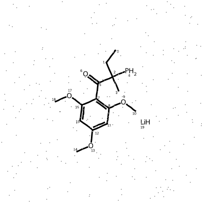 CCC(C)(P)C(=O)c1c(OC)cc(OC)cc1OC.[LiH]